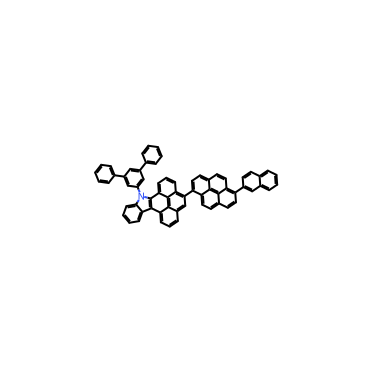 c1ccc(-c2cc(-c3ccccc3)cc(-n3c4ccccc4c4c5cccc6cc(-c7ccc8ccc9c(-c%10ccc%11ccccc%11c%10)ccc%10ccc7c8c%109)c7cccc(c7c65)c43)c2)cc1